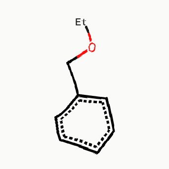 CCOCc1ccccc1